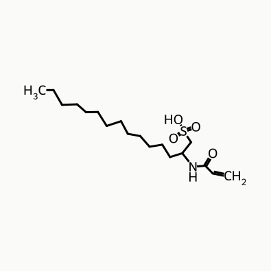 C=CC(=O)NC(CCCCCCCCCCCCC)CS(=O)(=O)O